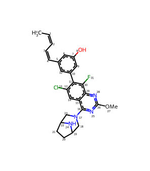 C/C=C\C=C/c1cc(O)cc(-c2c(Cl)cc3c(N4CC5CCC(C4)N5)nc(OC)nc3c2F)c1